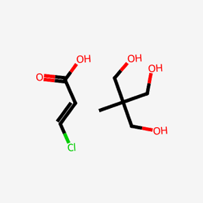 CC(CO)(CO)CO.O=C(O)C=CCl